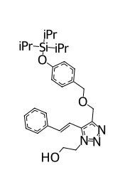 CC(C)[Si](Oc1ccc(COCc2nnn(CCO)c2C=Cc2ccccc2)cc1)(C(C)C)C(C)C